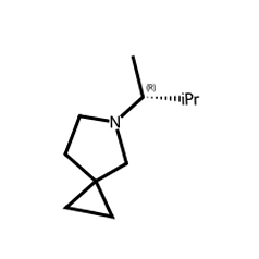 CC(C)[C@@H](C)N1CCC2(CC2)C1